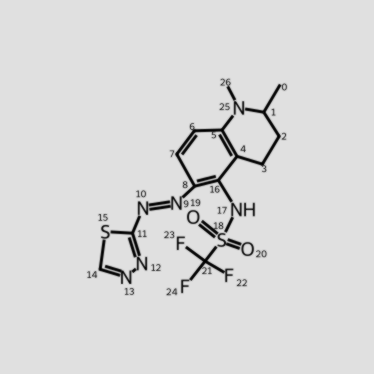 CC1CCc2c(ccc(N=Nc3nncs3)c2NS(=O)(=O)C(F)(F)F)N1C